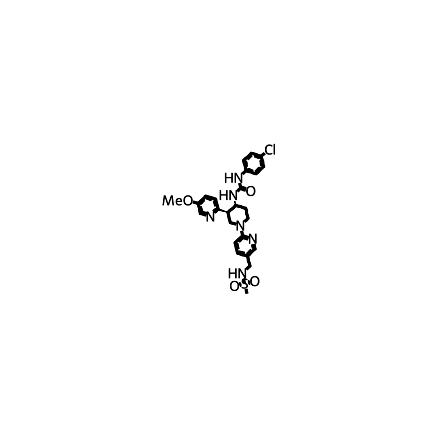 COc1ccc([C@@H]2CN(c3ccc(CNS(C)(=O)=O)cn3)CC[C@H]2NC(=O)Nc2ccc(Cl)cc2)nc1